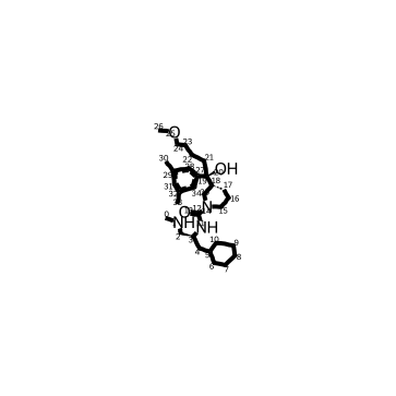 CNC[C@H](CC1CCCCC1)NC(=O)N1CCC[C@@H]([C@@](O)(CCCCOC)c2cc(C)cc(C)c2)C1